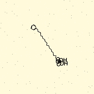 O=P(O)(O)OOCCCCCCCCCCCCCCCCCCc1ccccc1